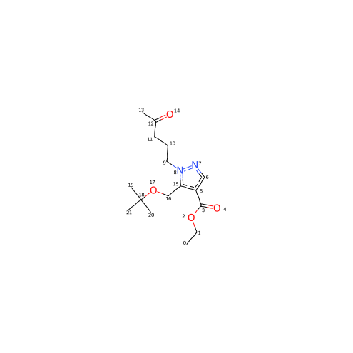 CCOC(=O)c1cnn(CCCC(C)=O)c1COC(C)(C)C